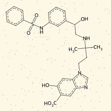 CC(C)(CCn1cnc2cc(C(=O)O)c(O)cc21)NCC(O)c1cccc(NS(=O)(=O)c2ccccc2)c1